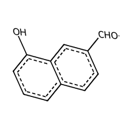 O=[C]c1ccc2cccc(O)c2c1